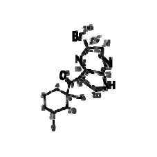 CC1CCCC(C)(C(=O)c2c[nH]c3ncc(Br)nc23)C1